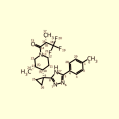 Cc1ccc(-c2nnc(C3([C@H]4CCN(C(=O)[C@H](C)C(F)(F)F)C[C@H]4C)CC3)[nH]2)cc1